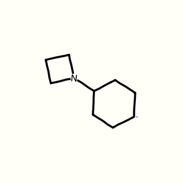 [CH]1CCC(N2CCC2)CC1